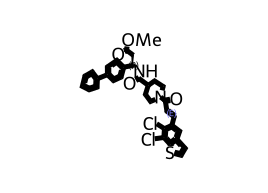 COC(=O)C[C@@H](NC(=O)C1CCN(C(=O)/C=C/c2cc3ccsc3c(Cl)c2Cl)CC1)c1ccc(-c2ccccc2)cc1